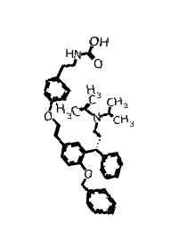 CC(C)N(CC[C@H](c1ccccc1)c1cc(CCOc2ccc(CCNC(=O)O)cc2)ccc1OCc1ccccc1)C(C)C